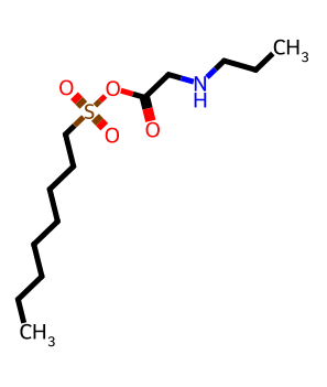 CCCCCCCCS(=O)(=O)OC(=O)CNCCC